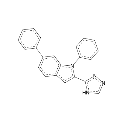 c1ccc(-c2ccc3cc(-c4nnc[nH]4)n(-c4ccccc4)c3c2)cc1